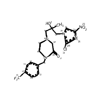 CC(O)(CN1CCN(Cc2ccc(C(F)(F)F)cc2)C(=O)C1)Cn1cc([N+](=O)[O-])nc1Cl